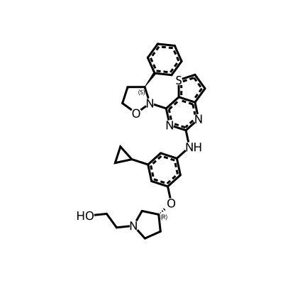 OCCN1CC[C@@H](Oc2cc(Nc3nc(N4OCC[C@H]4c4ccccc4)c4sccc4n3)cc(C3CC3)c2)C1